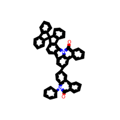 O=c1c2ccccc2c2cc(-c3cc4c5ccccc5c(=O)n5c6c7c(ccc6c(c3)c45)C3(c4ccccc4-c4ccccc43)c3ccccc3-7)ccc2n1-c1ccccc1